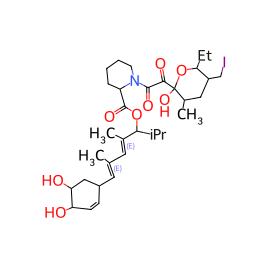 CCC1OC(O)(C(=O)C(=O)N2CCCCC2C(=O)OC(/C(C)=C/C(C)=C/C2C=CC(O)C(O)C2)C(C)C)C(C)CC1CI